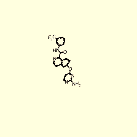 Nc1nccc(Oc2ccc3c(C(=O)Nc4cccc(C(F)(F)F)c4)nccc3c2)n1